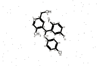 Cc1cnc(CO)cc1C(Sc1ccc(Cl)cc1)c1cc(F)ccc1F